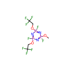 COP1(F)=NP(F)(OCC(F)(F)F)=NP(F)(OCC(F)(F)F)=N1